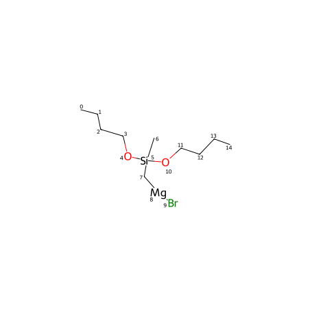 CCCCO[Si](C)([CH2][Mg][Br])OCCCC